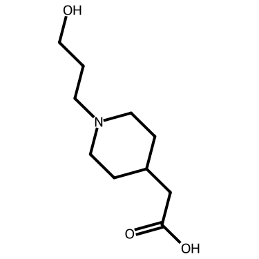 O=C(O)CC1CCN(CCCO)CC1